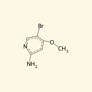 COc1cc(N)ncc1Br